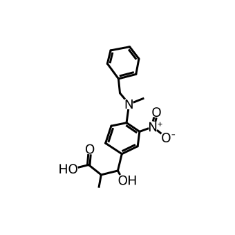 CC(C(=O)O)C(O)c1ccc(N(C)Cc2ccccc2)c([N+](=O)[O-])c1